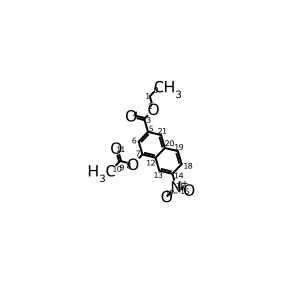 CCOC(=O)c1cc(OC(C)=O)c2cc([N+](=O)[O-])ccc2c1